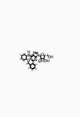 OC[C@H]1O[C@@H](n2cnc3c(N[C@H]4CCCC[C@@H]4OCc4ccccc4)ncnc32)[C@H](O)[C@@H]1O